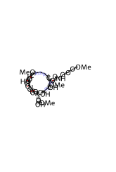 COCCOCCOCCOCCNC(=O)CO/N=C1\[C@H](C)C[C@H](C)/C=C/C=C/C=C(\C)[C@@H](OC)C[C@@H]2CC[C@@H](C)[C@@](O)(O2)C(=O)C(=O)N2CCCC[C@H]2C(=O)O[C@H]([C@H](C)C[C@@H]2CC[C@@H](O)[C@H](OC)C2)C[C@@H](O)[C@H](C)/C=C(\C)[C@@H](O)[C@H]1OC